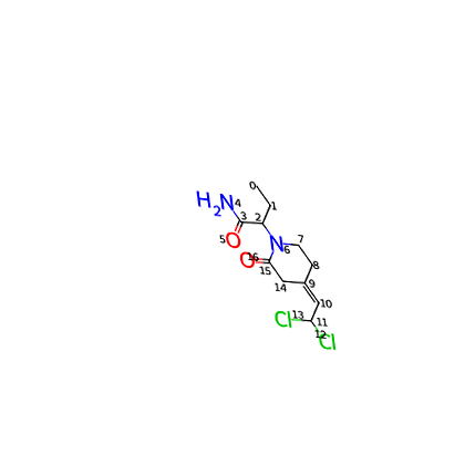 CCC(C(N)=O)N1CCC(=CC(Cl)Cl)CC1=O